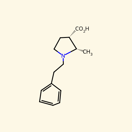 C[C@H]1[C@@H](C(=O)O)CCN1CCc1ccccc1